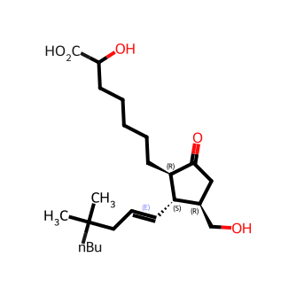 CCCCC(C)(C)C/C=C/[C@H]1[C@H](CO)CC(=O)[C@@H]1CCCCCC(O)C(=O)O